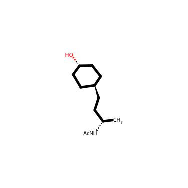 CC(=O)N[C@@H](C)CC[C@H]1CC[C@H](O)CC1